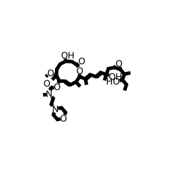 CCC(O)C(C)C1OC1CC(C)(O)/C=C/C=C(\C)C1OC(=O)CC(O)CCC(C)(OC)C(OC(=O)N(C)CCN2CCOCC2)/C=C/C1C